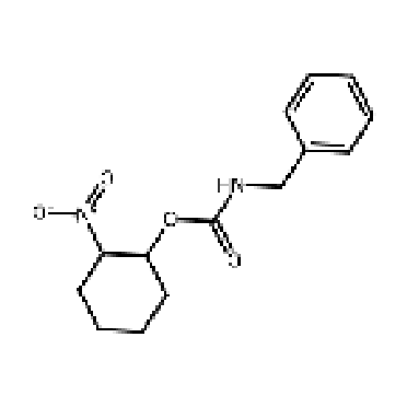 O=C(NCc1ccccc1)OC1CCCCC1[N+](=O)[O-]